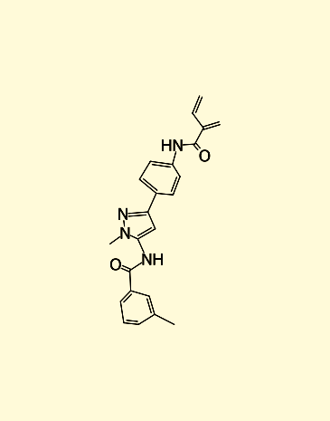 C=CC(=C)C(=O)Nc1ccc(-c2cc(NC(=O)c3cccc(C)c3)n(C)n2)cc1